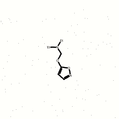 CCN(CC)COc1ccno1